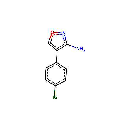 Nc1nocc1-c1ccc(Br)cc1